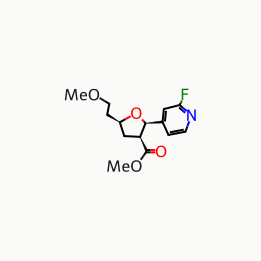 COCC[C@@H]1C[C@H](C(=O)OC)[C@H](c2ccnc(F)c2)O1